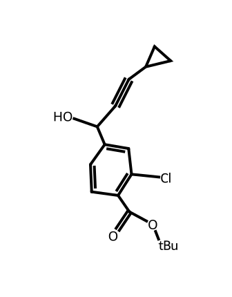 CC(C)(C)OC(=O)c1ccc(C(O)C#CC2CC2)cc1Cl